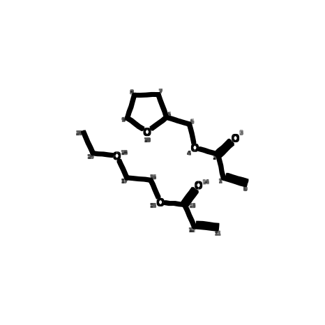 C=CC(=O)OCC1CCCO1.C=CC(=O)OCCOCC